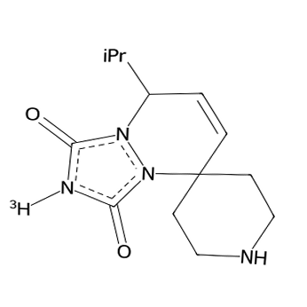 [3H]n1c(=O)n2n(c1=O)C1(C=CC2C(C)C)CCNCC1